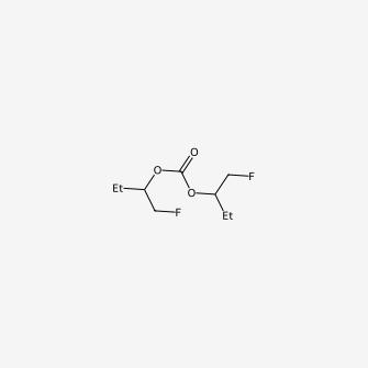 CCC(CF)OC(=O)OC(CC)CF